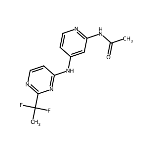 CC(=O)Nc1cc(Nc2ccnc(C(C)(F)F)n2)ccn1